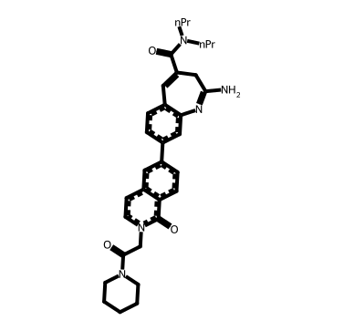 CCCN(CCC)C(=O)C1=Cc2ccc(-c3ccc4c(=O)n(CC(=O)N5CCCCC5)ccc4c3)cc2N=C(N)C1